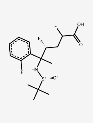 CC(N[S@+]([O-])C(C)(C)C)(c1ccccc1F)[C@H](F)CC(F)C(=O)O